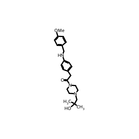 COc1ccc(CNc2ccc(CC(=O)N3CCN(CC(C)(C)O)CC3)cc2)cc1